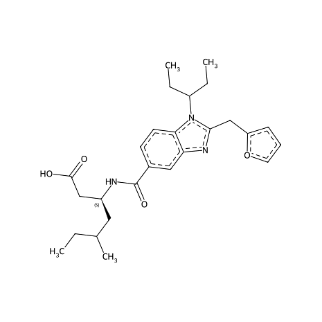 CCC(C)C[C@@H](CC(=O)O)NC(=O)c1ccc2c(c1)nc(Cc1ccco1)n2C(CC)CC